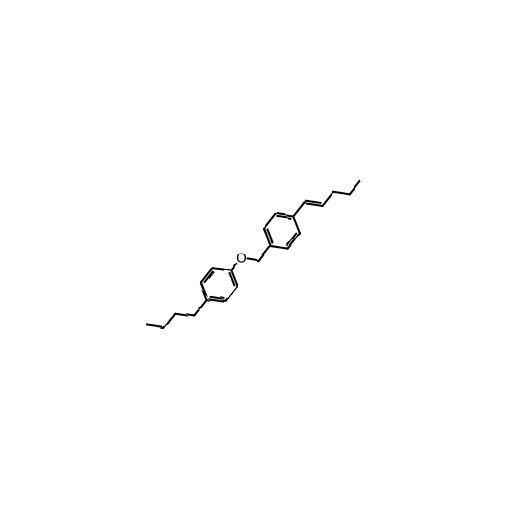 CCCC=Cc1ccc(COc2ccc(CCCC)cc2)cc1